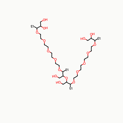 CCC(OCCOCCOCCOCCOC(CC)C(CO)OC(CO)C(CC)OCCOCCOCCOCCOC(CC)C(O)CO)C(O)CO